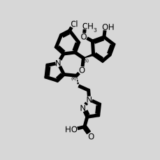 COc1c(O)cccc1[C@H]1O[C@H](CCn2ccc(C(=O)O)n2)c2cccn2-c2ccc(Cl)cc21